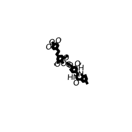 COc1cc(C2NC(=O)c3cc(C)ccc3N2)ccc1OCCOc1c(OC)cc(C=Cc2cc(OC)c(OC)c(OC)c2)cc1OC